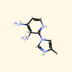 Cc1cn(-c2nccc(N)c2N)cn1